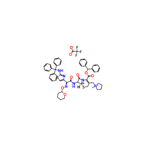 C[N+]1(CC2=C(C(=O)OC(c3ccccc3)c3ccccc3)N3C(=O)C(NC(=O)C(=NOC4CCCCO4)c4csc(NC(c5ccccc5)(c5ccccc5)c5ccccc5)n4)[C@@H]3SC2)CCCC1.O=C([O-])C(F)(F)F